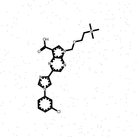 C[Si](C)(C)CCOCn1cc(C(=O)O)c2nc(-c3cn(-c4cccc(Cl)c4)cn3)cnc21